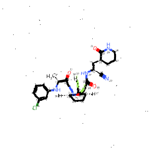 C[C@@H](Nc1cccc(Cl)c1)C(=O)N1[C@@H]2CC[C@H]([C@@H]1C(=O)N[C@H](C#N)C[C@@H]1CCCNC1=O)C(F)(F)C2